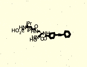 CC(C)C(CCC(=O)NC[C@H](NC(=O)c1ccc(C#Cc2ccccc2)cc1)C(=O)NO)(NC(=O)O)C(C)C